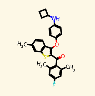 Cc1ccc2c(Oc3ccc(NC4CCC4)cc3)c(C(=O)c3c(C)cc(F)cc3C)sc2c1